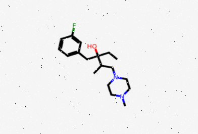 CCC(O)(Cc1cccc(F)c1)C(C)CN1CCN(C)CC1